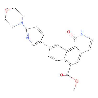 COC(=O)c1cc2cc[nH]c(=O)c2c2cc(-c3ccc(N4CCOCC4)nc3)ccc12